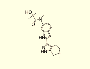 CN(C(=O)C(C)(C)O)c1ccc2cc(-c3n[nH]c4c3CCC(C)(C)C4)[nH]c2c1